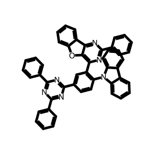 c1ccc(-c2nc(-c3ccccc3)nc(-c3ccc(-n4c5ccccc5c5ccccc54)c(-c4nc(-c5ccccc5)nc5c4oc4ccccc45)c3)n2)cc1